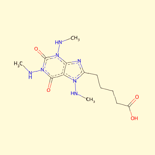 CNn1c(=O)c2c(nc(CCCCC(=O)O)n2NC)n(NC)c1=O